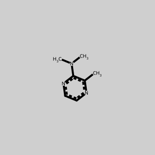 Cc1nccnc1N(C)C